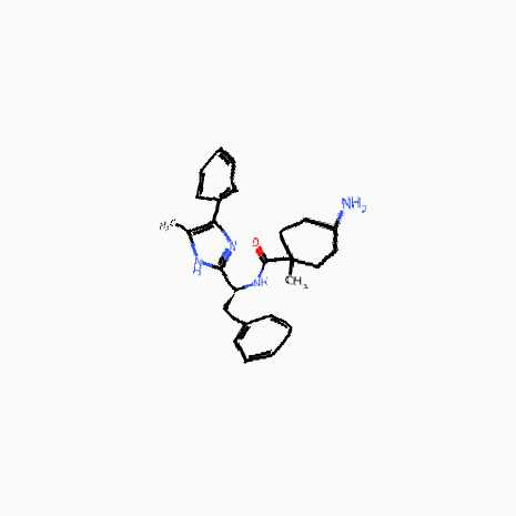 Cc1[nH]c([C@H](Cc2ccccc2)NC(=O)C2(C)CCC(N)CC2)nc1-c1ccccc1